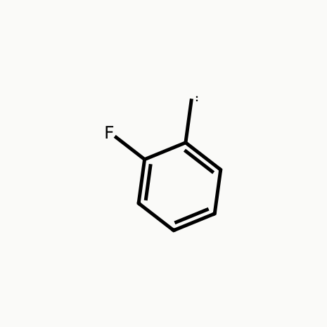 [CH]c1ccccc1F